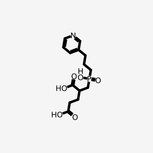 O=C(O)CCC(CP(=O)(O)CCCc1cccnc1)C(=O)O